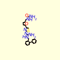 NC(=O)NCc1ccc(-c2csc(/N=C(\N)NCc3ccccc3-c3ccccc3)n2)o1